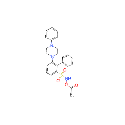 CCC(=O)ONS(=O)(=O)c1cccc(N2CCN(c3ccccc3)CC2)c1-c1ccccc1